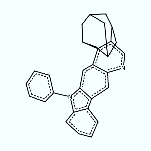 c1ccc(-n2c3ccccc3c3cc4ncc5c(c4cc32)C2CC3CC(CC5C3)C2)cc1